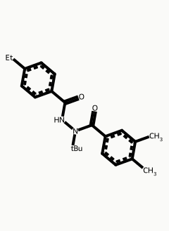 CCc1ccc(C(=O)NN(C(=O)c2ccc(C)c(C)c2)C(C)(C)C)cc1